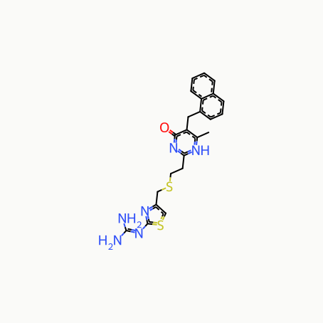 Cc1[nH]c(CCSCc2csc(N=C(N)N)n2)nc(=O)c1Cc1cccc2ccccc12